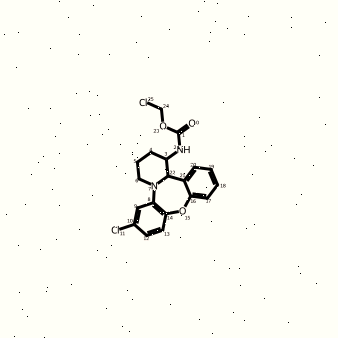 O=C(NC1CCCN2c3cc(Cl)ccc3Oc3ccccc3C12)OCCl